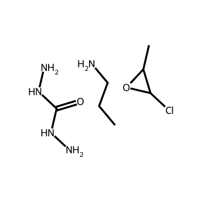 CC1OC1Cl.CCCN.NNC(=O)NN